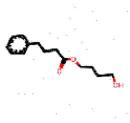 O=C(CCCc1ccccc1)OCCCCO